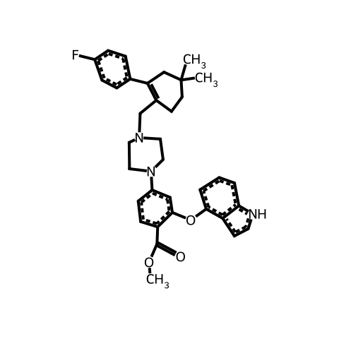 COC(=O)c1ccc(N2CCN(CC3=C(c4ccc(F)cc4)CC(C)(C)CC3)CC2)cc1Oc1cccc2[nH]ccc12